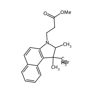 Br.COC(=O)CCN1c2ccc3ccccc3c2C(C)(C)C1C